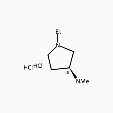 CCN1CC[C@H](NC)C1.Cl.Cl